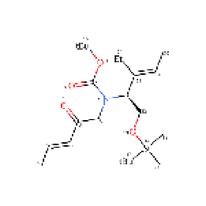 C/C=C/C(=O)CN(C(=O)OC(C)(C)C)[C@H](CO[Si](C)(C)C(C)(C)C)/C(=C/C)CC